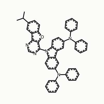 CC(C)c1ccc2oc3c(-n4c5ccc(N(c6ccccc6)c6ccccc6)cc5c5cc(N(c6ccccc6)c6ccccc6)ccc54)ncnc3c2c1